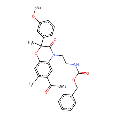 CCCCOc1cccc(C2(C)Oc3cc(C(F)(F)F)c(C(=O)OC)cc3N(CCNC(=O)OCc3ccccc3)C2=O)c1